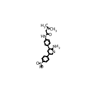 CN(C)CC(=O)Nc1ccc(-c2cc(-c3ccc([SH](=O)=O)cc3)cnc2N)cc1